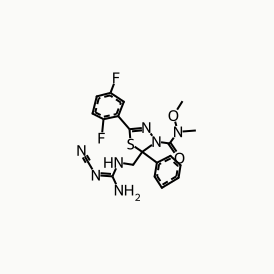 CON(C)C(=O)N1N=C(c2cc(F)ccc2F)SC1(CN/C(N)=N\C#N)c1ccccc1